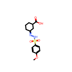 COc1ccc(S(=O)(=O)N/N=C2/CCCC(C(=O)O)C2)cc1